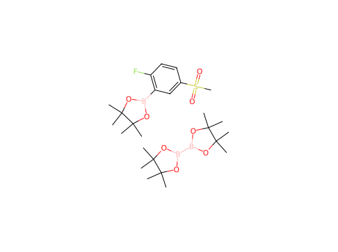 CC1(C)OB(B2OC(C)(C)C(C)(C)O2)OC1(C)C.CC1(C)OB(c2cc(S(C)(=O)=O)ccc2F)OC1(C)C